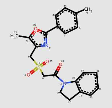 Cc1ccc(-c2nc(CS(=O)(=O)CC(=O)N3CCc4ccccc43)c(C)o2)cc1